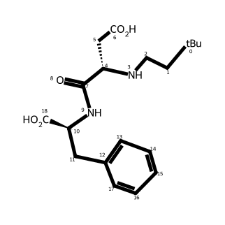 CC(C)(C)CCN[C@@H](CC(=O)O)C(=O)N[C@@H](Cc1ccccc1)C(=O)O